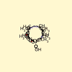 CO[C@H]1CC2CC[C@@H](C)[C@@](O)(O2)C(=O)C(=O)N2CCCC[C@H]2C(=O)O[C@H](CC[C@H]2CC[C@H](O)CC2)CC[C@H](C)/C=C(\C)[C@@H](O)CC(=O)[C@H](C)C[C@H](C)/C=C/C=C/C=C/1C